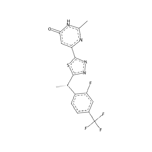 Cc1nc(-c2nnc([C@@H](C)c3ccc(C(F)(F)F)cc3F)s2)cc(=O)[nH]1